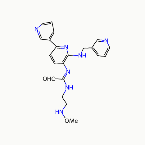 CONCCN/C(C=O)=N/c1ccc(-c2cccnc2)nc1NCc1cccnc1